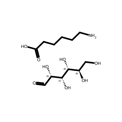 NCCCCCC(=O)O.O=C[C@H](O)[C@@H](O)[C@H](O)[C@H](O)CO